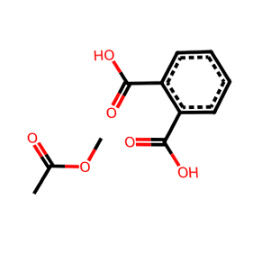 COC(C)=O.O=C(O)c1ccccc1C(=O)O